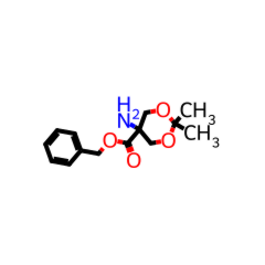 CC1(C)OCC(N)(C(=O)OCc2ccccc2)CO1